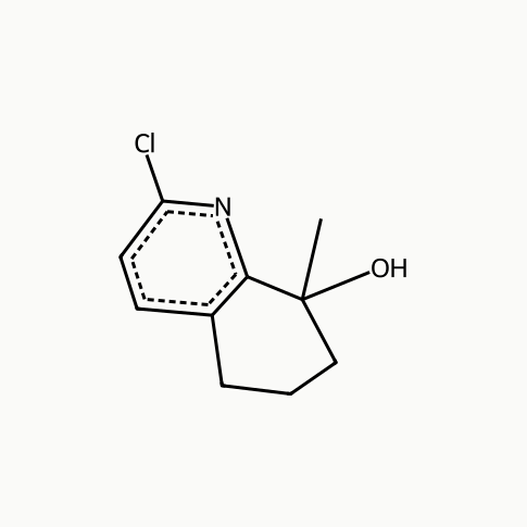 CC1(O)CCCc2ccc(Cl)nc21